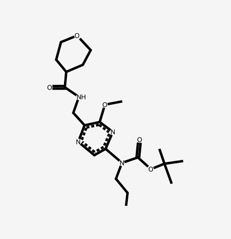 CCCN(C(=O)OC(C)(C)C)c1cnc(CNC(=O)C2CCOCC2)c(OC)n1